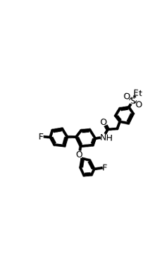 CCS(=O)(=O)c1ccc(CC(=O)Nc2ccc(-c3ccc(F)cc3)c(Oc3cccc(F)c3)c2)cc1